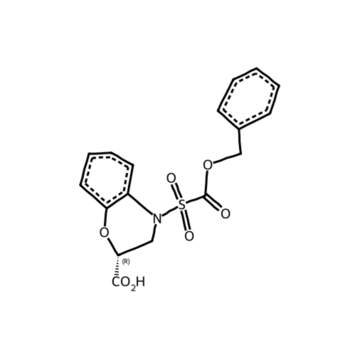 O=C(O)[C@H]1CN(S(=O)(=O)C(=O)OCc2ccccc2)c2ccccc2O1